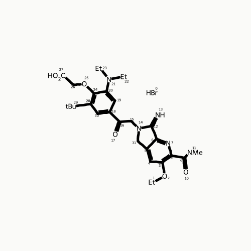 Br.CCOc1cc2c(nc1C(=O)NC)C(=N)N(CC(=O)c1cc(N(CC)CC)c(OCC(=O)O)c(C(C)(C)C)c1)C2